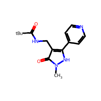 Cn1[nH]c(-c2ccncc2)c(CNC(=O)C(C)(C)C)c1=O